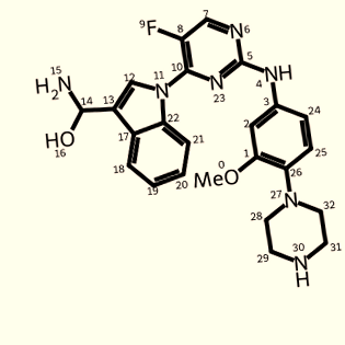 COc1cc(Nc2ncc(F)c(-n3cc(C(N)O)c4ccccc43)n2)ccc1N1CCNCC1